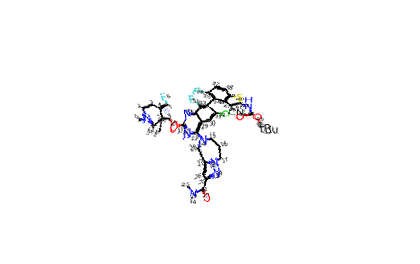 CN1CC/C(=C\F)[C@](C)(COc2nc(N3CCCn4nc(C(=O)N(C)C)cc4C3)c3cc(Cl)c(-c4c(F)ccc5sc(NC(=O)OC(C)(C)C)c(C#N)c45)c(F)c3n2)C1